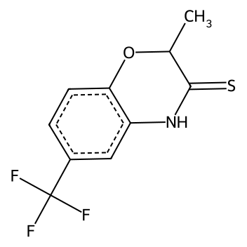 CC1Oc2ccc(C(F)(F)F)cc2NC1=S